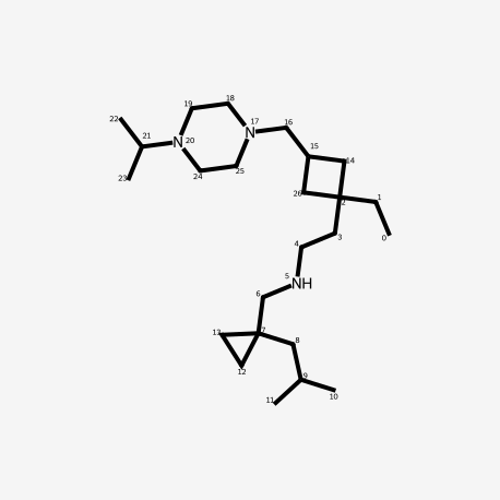 CCC1(CCNCC2(CC(C)C)CC2)CC(CN2CCN(C(C)C)CC2)C1